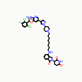 CC(Oc1cc(-c2cnn(C3CCN(CCCCCCCCNc4cccc5c4CN(C4CCC(=O)NC4=O)C5=O)CC3)c2)cnc1N)c1c(Cl)ccc(F)c1Cl